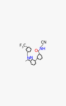 Cc1c2cccc(-c3cccc(C(=O)NCCC#N)c3)c2nn1Cc1cccc(C(F)(F)F)c1